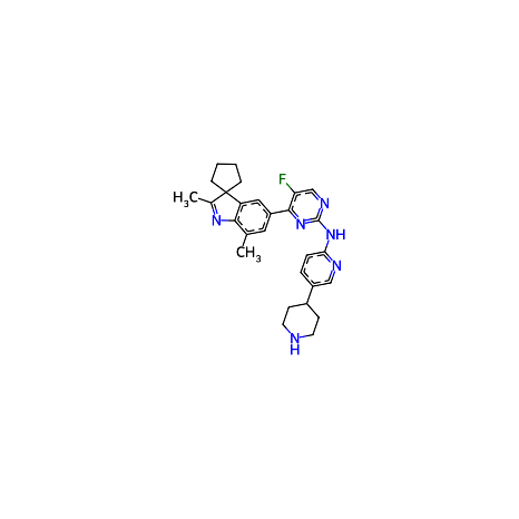 CC1=Nc2c(C)cc(-c3nc(Nc4ccc(C5CCNCC5)cn4)ncc3F)cc2C12CCCC2